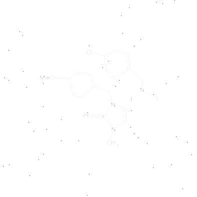 COc1ccc(Cn2ccn(C)[c]2=[Pt])cc1.Clc1ccc(CN(I)I)cc1